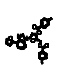 Cc1ccc(C(=O)OC[C@H]2O[C@@H](n3cnc4c(-c5ccco5)cccc43)C[C@@H]2OC(=O)c2ccc(C)cc2)cc1